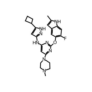 Cc1cc2cc(Oc3nc(Nc4cc(C5CCC5)[nH]n4)cc(N4CCN(C)CC4)n3)c(F)cc2[nH]1